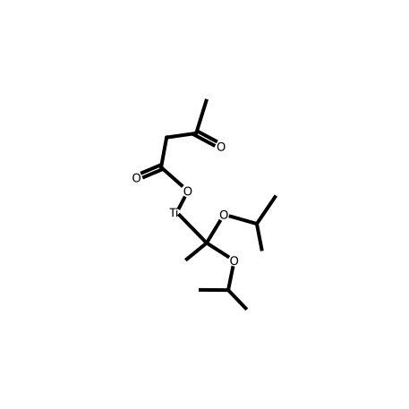 CC(=O)CC(=O)[O][Ti][C](C)(OC(C)C)OC(C)C